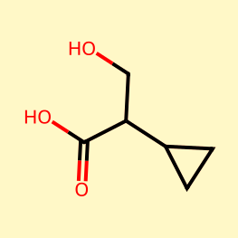 O=C(O)C(CO)C1CC1